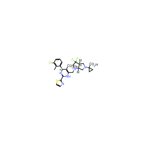 CCOC(=O)C1=C(CN2CC(F)(F)[C@@H]3CN(C4(C(=O)O)CC4)C[C@@H]32)NC(c2nccs2)=N[C@H]1c1cccc(F)c1C